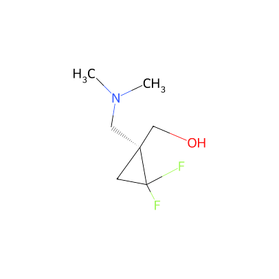 CN(C)C[C@@]1(CO)CC1(F)F